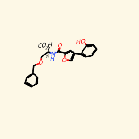 O=C(N[C@@H](COCc1ccccc1)C(=O)O)c1cc(-c2ccccc2O)co1